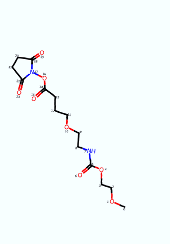 COCCOC(=O)NCCOCCCC(=O)ON1C(=O)CCC1=O